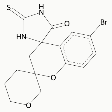 O=C1NC(=S)NC12CC1(CCCOC1)Oc1ccc(Br)cc12